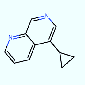 c1cnc2cncc(C3CC3)c2c1